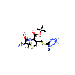 Cn1nnnc1SCC1=C(C(=O)O[Si](C)(C)C)N2C(=O)C(N)[C@H]2SC1